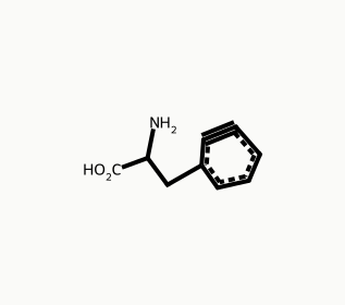 NC(Cc1c#cccc1)C(=O)O